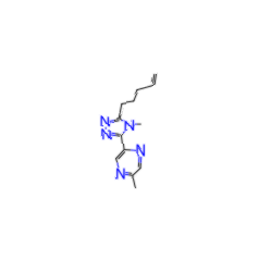 C=CCCCc1nnc(-c2cnc(C)cn2)n1C